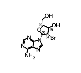 Nc1ncnc2c1ncn2[C@@H]1O[C@H](CO)[C@@H](O)[C@@H]1Br